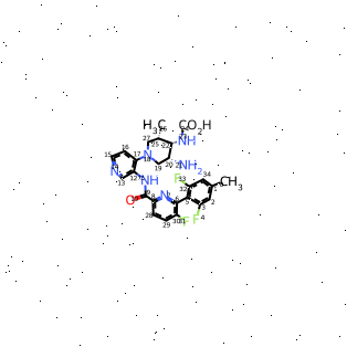 Cc1cc(F)c(-c2nc(C(=O)Nc3cnccc3N3C[C@@H](N)[C@@H](NC(=O)O)[C@@H](C)C3)ccc2F)c(F)c1